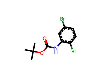 CC(C)(C)OC(=O)Nc1cc(Br)ccc1Br